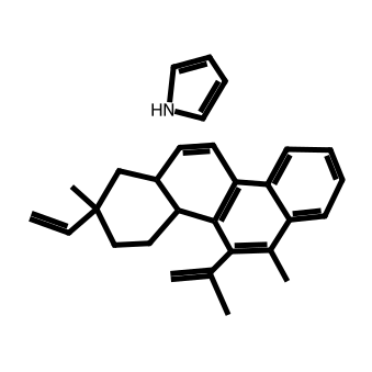 C=CC1(C)CCC2c3c(C(=C)C)c(C)c4ccccc4c3C=CC2C1.c1cc[nH]c1